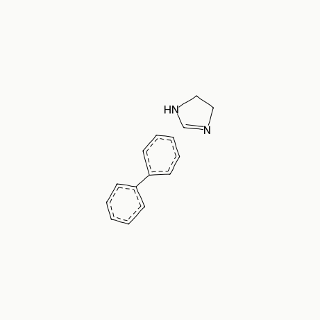 C1=NCCN1.c1ccc(-c2ccccc2)cc1